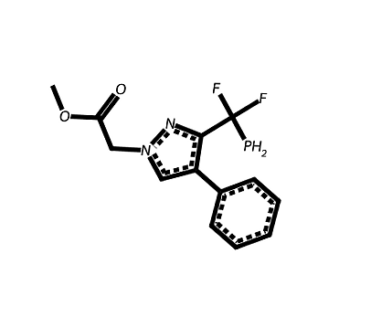 COC(=O)Cn1cc(-c2ccccc2)c(C(F)(F)P)n1